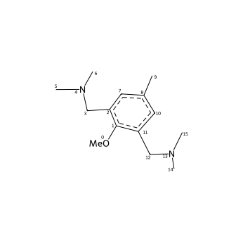 COc1c(CN(C)C)cc(C)cc1CN(C)C